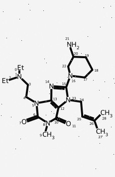 CCN(CC)CCn1c(=O)n(C)c(=O)c2c1nc(N1CCCC(N)C1)n2CC=C(C)C